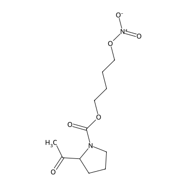 CC(=O)C1CCCN1C(=O)OCCCCO[N+](=O)[O-]